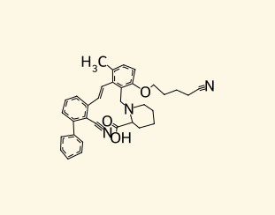 Cc1ccc(OCCCCC#N)c(CN2CCCCC2C(=O)O)c1C=Cc1cccc(-c2ccccc2)c1C#N